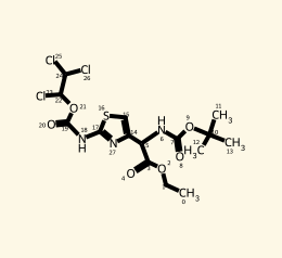 CCOC(=O)C(NC(=O)OC(C)(C)C)c1csc(NC(=O)OC(Cl)C(Cl)Cl)n1